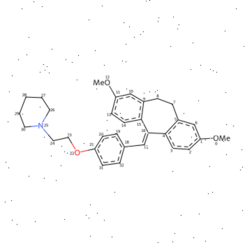 COc1ccc2c(c1)CCc1cc(OC)ccc1C2=Cc1ccc(OCCN2CCCCC2)cc1